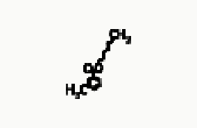 CCCCCCCOC(=O)c1cccc(C)c1